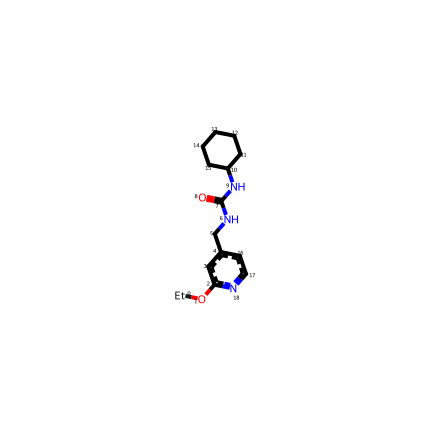 CCOc1cc(CNC(=O)NC2CCCCC2)ccn1